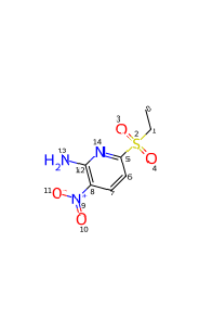 CCS(=O)(=O)c1ccc([N+](=O)[O-])c(N)n1